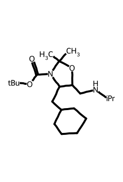 CC(C)NCC1OC(C)(C)N(C(=O)OC(C)(C)C)C1CC1CCCCC1